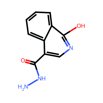 NNC(=O)c1cnc(O)c2ccccc12